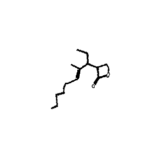 CCCCCC=C(C)C(CC)C1COC1=O